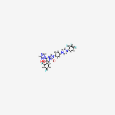 O=c1n(-c2ccc(N3CCN(c4ccc(F)c(F)c4F)CC3)cc2)cnn1CC(O)(Cn1cncn1)c1ccc(F)cc1F